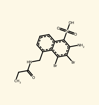 CCC(=O)NCc1cccc2c(S(=O)(=O)O)c(N)c(Br)c(Br)c12